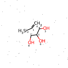 C=C[SiH3].OCC(O)CO